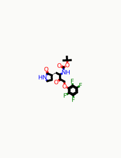 CC(C)(C)OC(=O)NC(C[C@@H]1CCNC1=O)C(=O)COc1c(F)c(F)cc(F)c1F